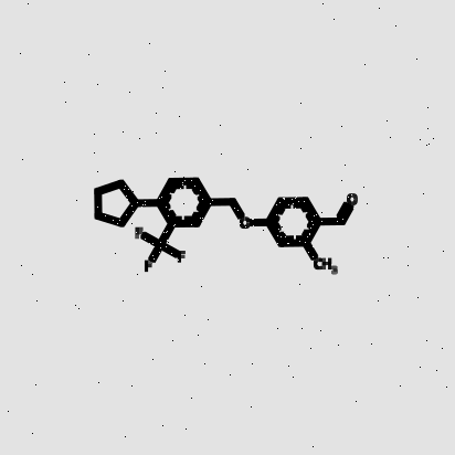 Cc1cc(OCc2ccc(C3CCCC3)c(C(F)(F)F)c2)ccc1C=O